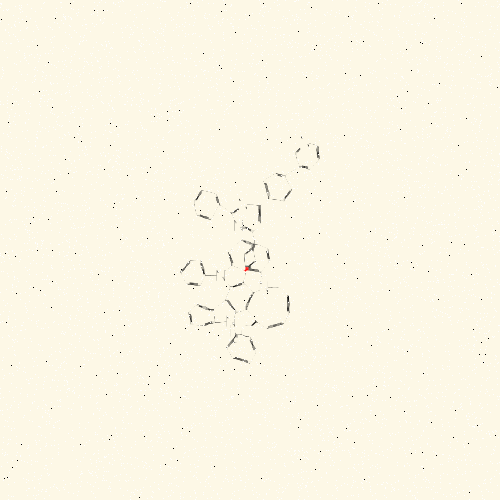 C=C1/C=C\C=C/CN(c2ccc(-c3cc(-c4ccc(-c5cccnc5)cc4)nc(-c4ccccc4)n3)cc2)c2c1c1c(c3ccccc3n1-c1ccccc1)c1c2c2ccccc2n1-c1ccccc1